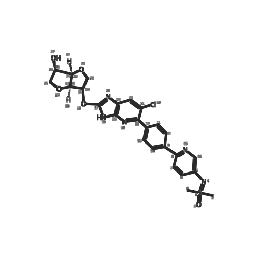 CS(C)(=O)=Nc1ccc(-c2ccc(-c3nc4[nH]c(O[C@@H]5CO[C@H]6[C@@H]5OC[C@H]6O)nc4cc3Cl)cc2)nc1